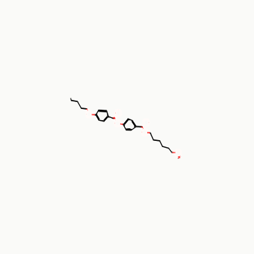 CCCCCOc1ccc(C(=O)Oc2ccc(C(=O)OCCCCCCOC)cc2)cc1